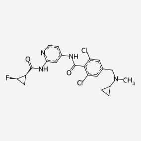 CN(Cc1cc(Cl)c(C(=O)Nc2ccnc(NC(=O)[C@H]3C[C@H]3F)c2)c(Cl)c1)C1CC1